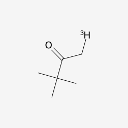 [3H]CC(=O)C(C)(C)C